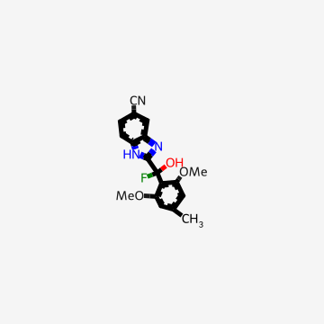 COc1cc(C)cc(OC)c1C(O)(F)c1nc2cc(C#N)ccc2[nH]1